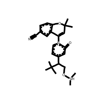 C[SiH](C)OCC(c1ccn(C2=CC(C)(C)Oc3ccc(C#N)cc32)c(=O)c1)C(C)(C)C